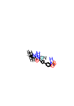 C[C@H]1[C@H]2[C@H]3C[C@H](N[C@@H]3C(=O)N[C@H](C#N)Cc3ccc(-c4cccc(NS(C)(=O)=O)c4)cc3F)[C@@H]12